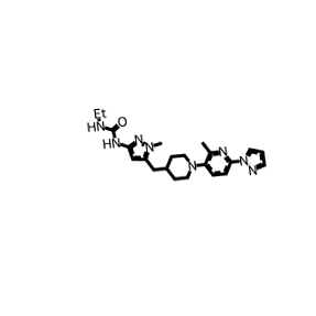 CCNC(=O)Nc1cc(CC2CCN(c3ccc(-n4cccn4)nc3C)CC2)n(C)n1